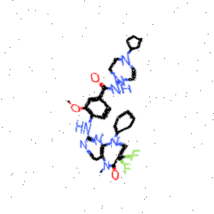 COc1cc(C(=O)NN2CCN(C3CCCC3)CC2)ccc1Nc1ncc2c(n1)N(C1CCCCC1)CC(F)(F)C(=O)N2C